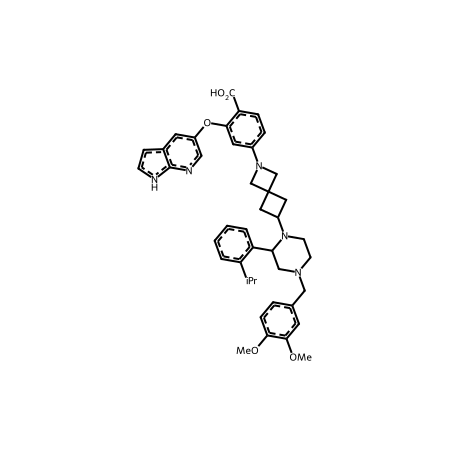 COc1ccc(CN2CCN(C3CC4(C3)CN(c3ccc(C(=O)O)c(Oc5cnc6[nH]ccc6c5)c3)C4)C(c3ccccc3C(C)C)C2)cc1OC